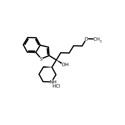 COCCCC[C@@](O)(c1cc2ccccc2s1)[C@@H]1CCCNC1.Cl